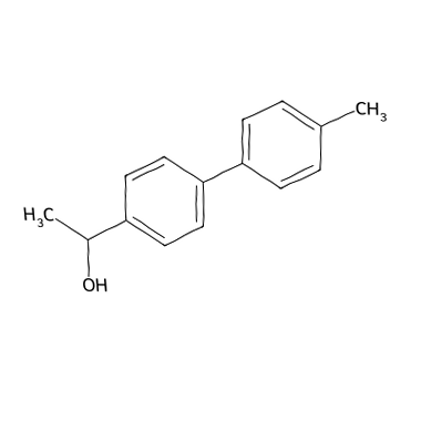 Cc1ccc(-c2ccc(C(C)O)cc2)cc1